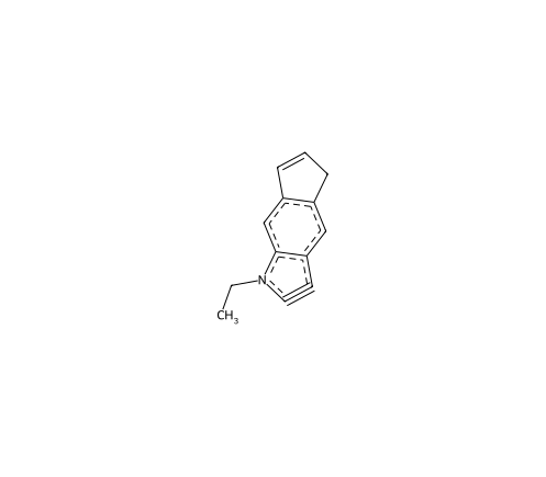 CCn1c#cc2cc3c(cc21)C=CC3